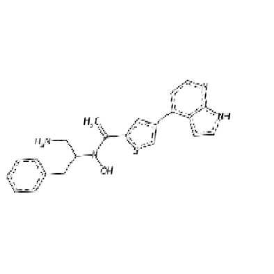 C=C(c1cc(-c2ccnc3[nH]ccc23)cs1)N(O)C(CN)Cc1ccccc1